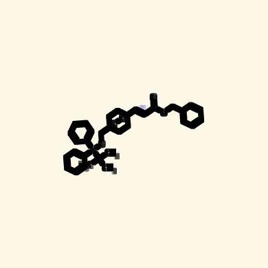 CC(C)(C)[Si](OCC12CCC(/C=C/C(=O)OCc3ccccc3)(CC1)CC2)(c1ccccc1)c1ccccc1